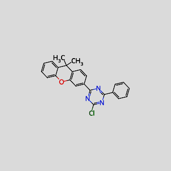 CC1(C)c2ccccc2Oc2cc(-c3nc(Cl)nc(-c4ccccc4)n3)ccc21